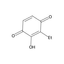 CCC1=C(O)C(=O)C=CC1=O